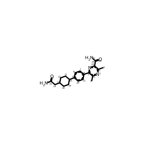 Cc1nc(C)c(-c2ccc(C3CCC(CC(N)=O)CC3)cc2)nc1C(N)=O